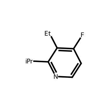 CCc1c(F)ccnc1C(C)C